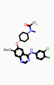 COc1cc2ncnc(Nc3ccc(F)c(Cl)c3)c2cc1O[C@H]1CC[C@H](N(C)C(=O)C(F)(F)F)CC1